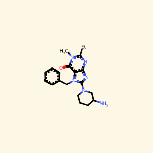 CCc1nc2nc(N3CCCC(N)C3)n(Cc3ccccc3)c2c(=O)n1C